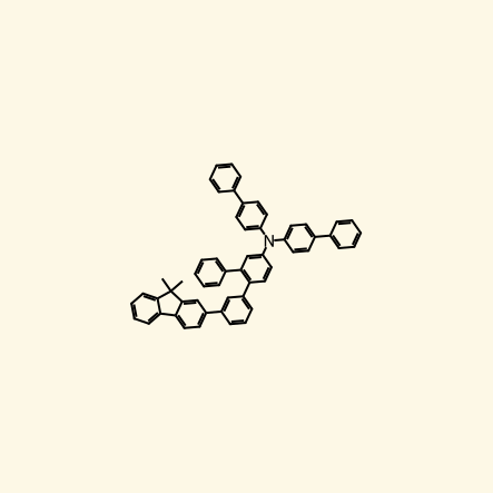 CC1(C)c2ccccc2-c2ccc(-c3cccc(-c4ccc(N(c5ccc(-c6ccccc6)cc5)c5ccc(-c6ccccc6)cc5)cc4-c4ccccc4)c3)cc21